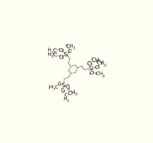 CO[Si](CCC1CC(CC[Si](OC)(OC)OC)CC(CC[Si](OC)(OC)OC)C1)(OC)OC